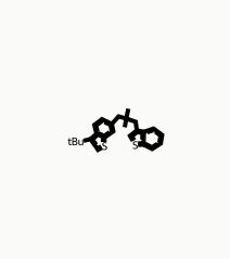 CC(C)(Cc1ccc2c(C(C)(C)C)csc2c1)Cc1csc2ccccc12